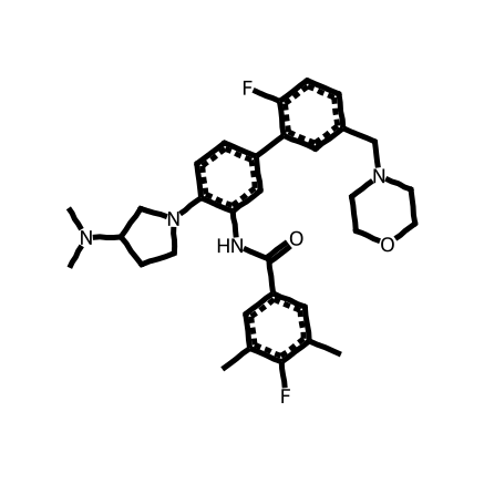 Cc1cc(C(=O)Nc2cc(-c3cc(CN4CCOCC4)ccc3F)ccc2N2CCC(N(C)C)C2)cc(C)c1F